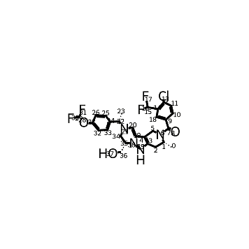 C[C@@H]1CC2=C(CN1C(=O)c1ccc(Cl)c(C(F)F)c1)C1=CN([C@@H](C)c3ccc(OC(F)F)cc3)C[C@@H](CO)N1N2